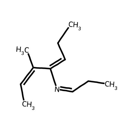 C\C=C(C)/C(=C\CC)/N=C\CC